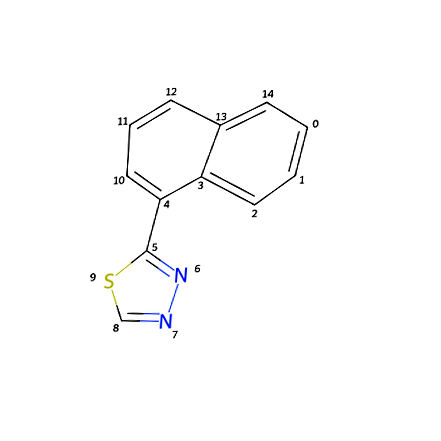 c1ccc2c(-c3nncs3)cccc2c1